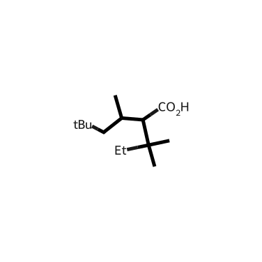 CCC(C)(C)C(C(=O)O)C(C)CC(C)(C)C